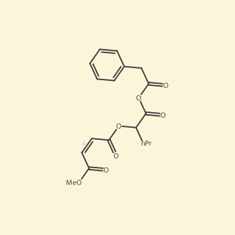 CCCC(OC(=O)/C=C\C(=O)OC)C(=O)OC(=O)Cc1ccccc1